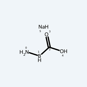 NBC(=O)O.[NaH]